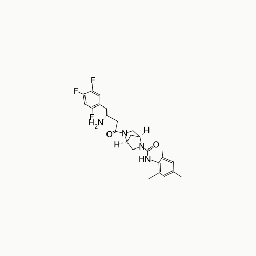 Cc1cc(C)c(NC(=O)N2C[C@@H]3C[C@H]2CN3C(=O)C[C@H](N)Cc2cc(F)c(F)cc2F)c(C)c1